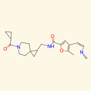 C=N/C=C\c1cc(C(=O)NCC2CC23CCN(C(=O)C2CC2)CC3)oc1C